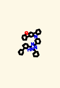 c1ccc(C2=NC(c3cccc(-n4c5ccccc5c5cc6oc7ccccc7c6cc54)c3)=NC(c3cccc(-c4ccccc4)c3)N2)cc1